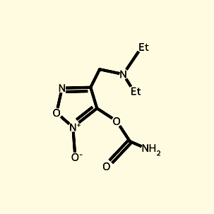 CCN(CC)Cc1no[n+]([O-])c1OC(N)=O